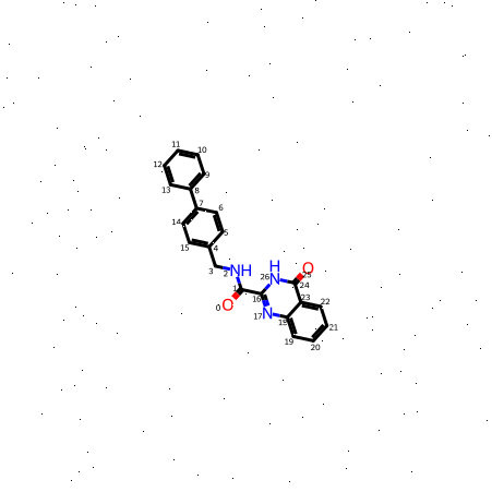 O=C(NCc1ccc(-c2ccccc2)cc1)c1nc2ccccc2c(=O)[nH]1